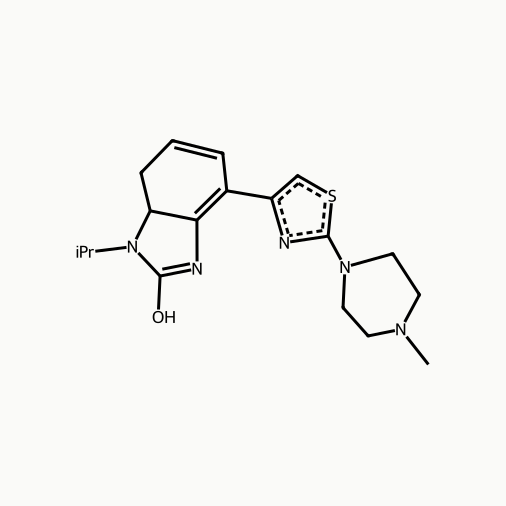 CC(C)N1C(O)=NC2=C(c3csc(N4CCN(C)CC4)n3)C=CCC21